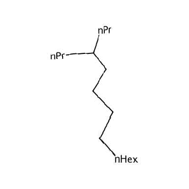 [CH2]CCCCCCCCCC(CCC)CCC